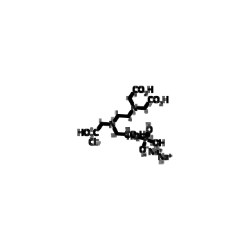 O=C(O)CN(CCN(CC(=O)O)CC(=O)O)CC(=O)O.O=P([O-])(O)O.[Cl-].[Na+].[Na+]